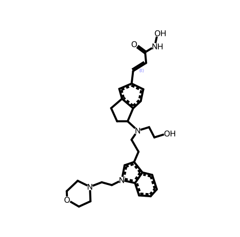 O=C(/C=C/c1ccc2c(c1)CCC2N(CCO)CCc1cn(CCN2CCOCC2)c2ccccc12)NO